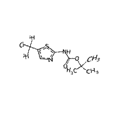 [2H]C([2H])(Cl)c1cnc(NC(=O)OC(C)(C)C)s1